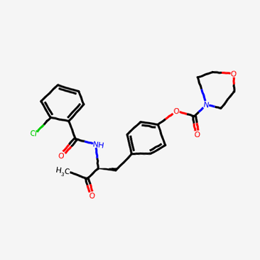 CC(=O)[C@H](Cc1ccc(OC(=O)N2CCOCC2)cc1)NC(=O)c1ccccc1Cl